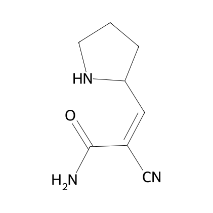 N#CC(=CC1CCCN1)C(N)=O